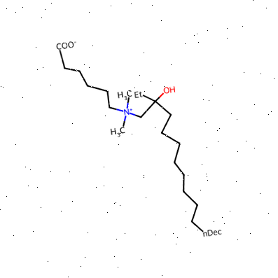 CCCCCCCCCCCCCCCCCCC(O)(CC)C[N+](C)(C)CCCCCC(=O)[O-]